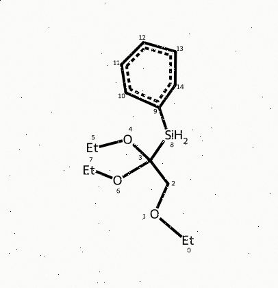 CCOCC(OCC)(OCC)[SiH2]c1ccccc1